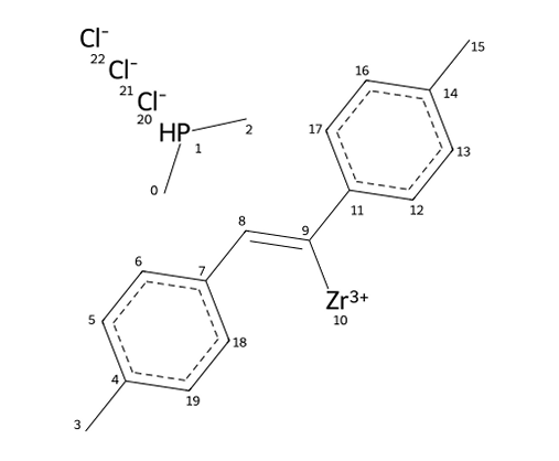 CPC.Cc1ccc(C=[C]([Zr+3])c2ccc(C)cc2)cc1.[Cl-].[Cl-].[Cl-]